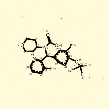 O=C(O)N(C1CCOCC1)C(c1ccc(OC(F)(F)F)c(F)c1)c1ncccc1F